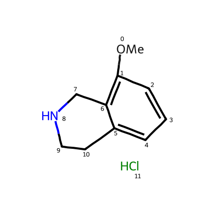 COc1cccc2c1CNCC2.Cl